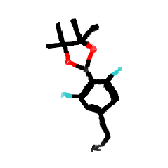 CC1(C)OB(c2c(F)cc(CC#N)cc2F)OC1(C)C